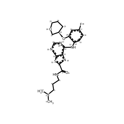 CN(C)CCCNC(=O)c1nc2c(Nc3ccc(F)cc3O[C@@H]3CCCOC3)ncnc2s1